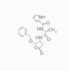 C[C@H](NC(=O)c1ccc[nH]1)C(=O)NC1CC(=O)OC1OCc1ccccc1